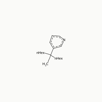 CCCCCCC(C)(CCCCCC)c1cccnc1